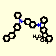 CC1(C)c2ccccc2-c2cc3c4ccccc4n(-c4ccc5cc(N(c6ccccc6)c6ccc(-c7ccc8ccccc8c7)cc6)ccc5c4)c3cc21